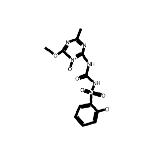 COc1nc(C)nc(NC(=O)NS(=O)(=O)c2ccccc2Cl)[n+]1[O-]